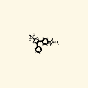 CS(=O)(=O)c1nc(-c2ccccc2)c(-c2ccc(S(N)(=O)=O)cc2)o1